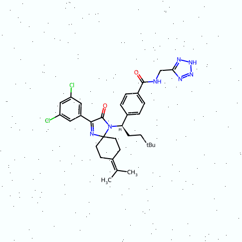 CC(C)=C1CCC2(CC1)N=C(c1cc(Cl)cc(Cl)c1)C(=O)N2[C@H](CCC(C)(C)C)c1ccc(C(=O)NCc2nn[nH]n2)cc1